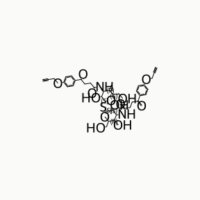 C#CCOc1ccc(C(=O)CCC(=O)NC2C(O)[C@H](S[C@@H]3OC(CO)[C@H](O)C(NC(=O)CCC(=O)c4ccc(OCC#C)cc4)[C@@H]3O)O[C@H](CO)[C@@H]2C)cc1